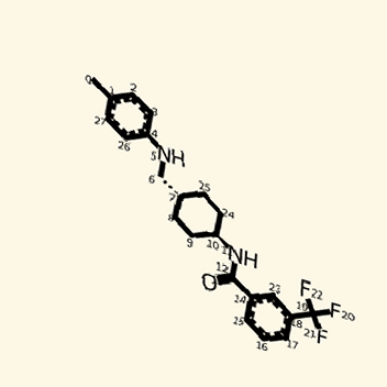 Cc1ccc(NC[C@H]2CC[C@H](NC(=O)c3cccc(C(F)(F)F)c3)CC2)cc1